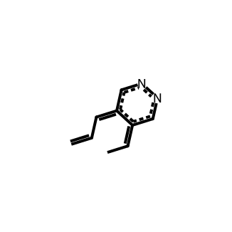 C=C/C=c1/cnnc/c1=C/C